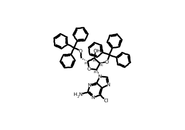 Nc1nc(Cl)c2ncn([C@@H]3O[C@H](COC(c4ccccc4)(c4ccccc4)c4ccccc4)[C@@H](O)[C@H]3OC(c3ccccc3)(c3ccccc3)c3ccccc3)c2n1